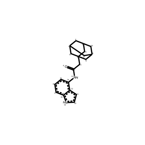 O=C(CC12CC3CC(CC(C3)C1)C2)Nc1cccc2[nH]ccc12